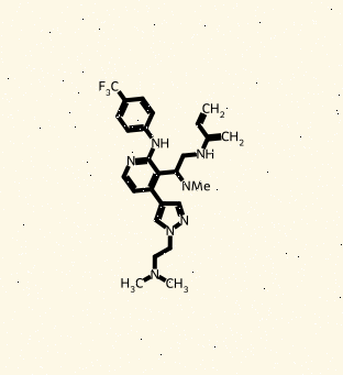 C=CC(=C)NCC(NC)c1c(-c2cnn(CCN(C)C)c2)ccnc1Nc1ccc(C(F)(F)F)cc1